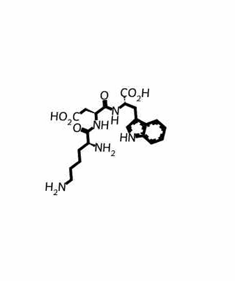 NCCCC[C@H](N)C(=O)N[C@@H](CC(=O)O)C(=O)N[C@@H](Cc1c[nH]c2ccccc12)C(=O)O